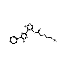 CCCCCC(=O)Nc1cn[nH]c1-c1n[nH]c(-c2ccccc2)n1